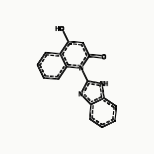 O=c1cc(O)c2ccccc2n1-c1nc2ccccc2[nH]1